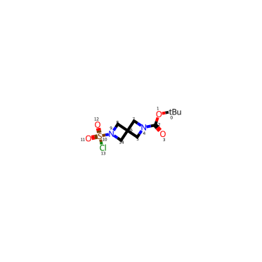 CC(C)(C)OC(=O)N1CC2(C1)CN(S(=O)(=O)Cl)C2